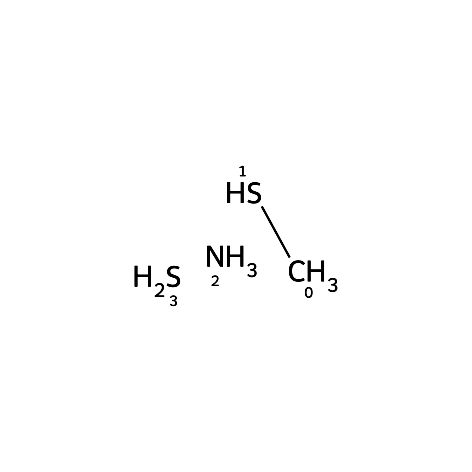 CS.N.S